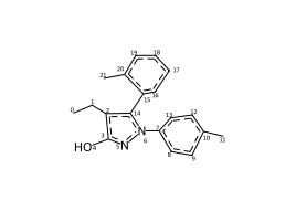 CCc1c(O)nn(-c2ccc(C)cc2)c1-c1ccccc1C